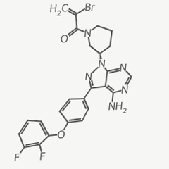 C=C(Br)C(=O)N1CCC[C@@H](n2nc(-c3ccc(Oc4cccc(F)c4F)cc3)c3c(N)ncnc32)C1